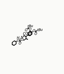 CC(COC(=O)OC1CCCCC1)C(c1ccc(OC(=O)C(C)(C)C)c(OC(=O)C(C)(C)C)c1)[C@H](N)C(=O)O